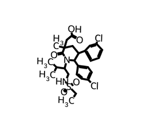 CCS(=O)(=O)NCC(C(C)C)N1C(=O)C(C)(CC(=O)O)CC(c2cccc(Cl)c2)C1c1ccc(Cl)cc1